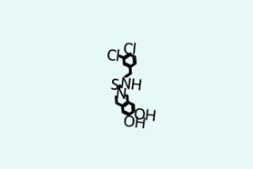 Oc1cc2c(cc1O)CN(C(=S)NCCc1ccc(Cl)c(Cl)c1)CC2